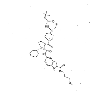 COCCCOC(=O)c1cc2cc(NC(=O)[C@@H]3[C@H](C4CCCCC4)CCN3C(=O)C3CCC([C@@H](CF)NC(=O)OC(C)(C)C)CC3)ccc2[nH]1